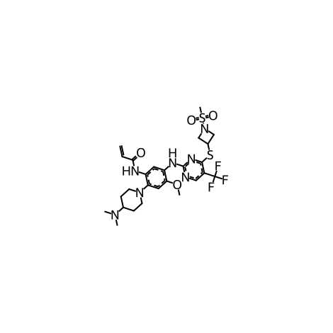 C=CC(=O)Nc1cc(Nc2ncc(C(F)(F)F)c(SC3CN(S(C)(=O)=O)C3)n2)c(OC)cc1N1CCC(N(C)C)CC1